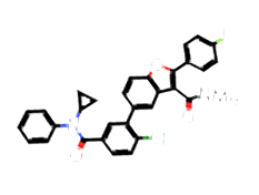 CNC(=O)c1c(-c2ccc(F)cc2)oc2ccc(-c3cc(C(=O)N(c4ccccc4)C4CC4)ccc3Cl)cc12